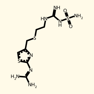 N=C(NCCSCc1csc(N=C(N)N)n1)NS(N)(=O)=O